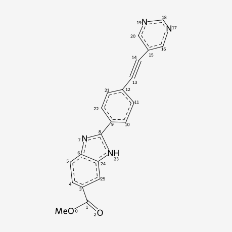 COC(=O)c1ccc2nc(-c3ccc(C#Cc4cncnc4)cc3)[nH]c2c1